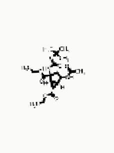 CCOC(=O)[C@H]1[C@H]2[C@@H]1[C@](NC(=O)OC(C)(C)C)(C(=O)OCC)C[C@H]2NC(C)=O